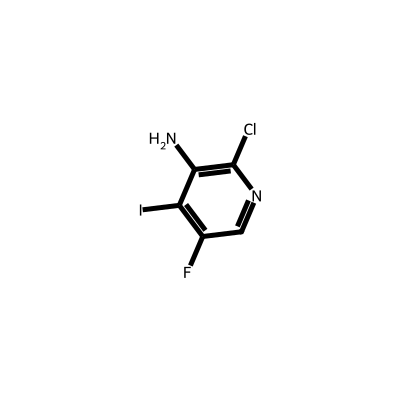 Nc1c(Cl)ncc(F)c1I